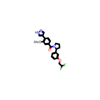 COc1cc(C(=O)N2CCCC2c2cccc(OCC(F)F)c2)ccc1-c1cn[nH]c1